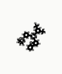 CC(C)(C)c1cc(-c2nc(-c3cccc(B4OC(C)(C)C(C)(C)O4)c3)nc(-c3cccc4c3oc3ccccc34)n2)cc(C(C)(C)C)c1